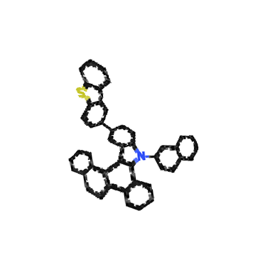 c1ccc2cc(-n3c4ccc(-c5ccc6sc7ccccc7c6c5)cc4c4c5c6ccccc6ccc5c5ccccc5c43)ccc2c1